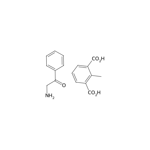 Cc1c(C(=O)O)cccc1C(=O)O.NCC(=O)c1ccccc1